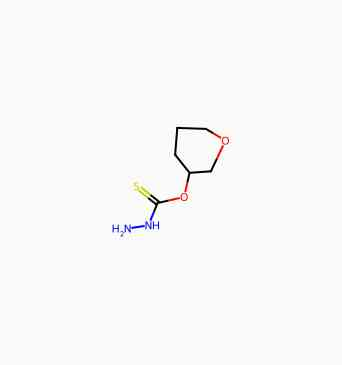 NNC(=S)OC1CCCOC1